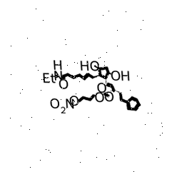 CCNC(=O)CCCC=CC[C@@H]1[C@@H](C=C[C@H](CCc2ccccc2)OC(=O)OCCCCO[N+](=O)[O-])[C@H](O)C[C@@H]1O